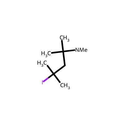 CNC(C)(C)CC(C)(C)I